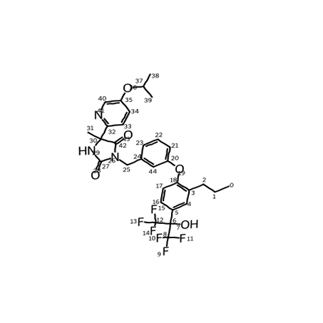 CCCc1cc(C(O)(C(F)(F)F)C(F)(F)F)ccc1Oc1cccc(CN2C(=O)NC(C)(c3ccc(OC(C)C)cn3)C2=O)c1